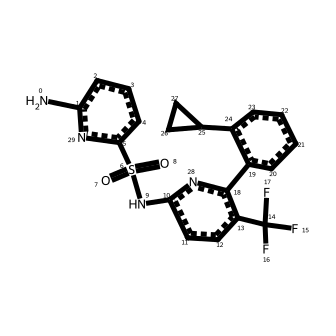 Nc1cccc(S(=O)(=O)Nc2ccc(C(F)(F)F)c(-c3ccccc3C3CC3)n2)n1